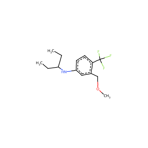 CCC(CC)Nc1ccc(C(F)(F)F)c(COC)c1